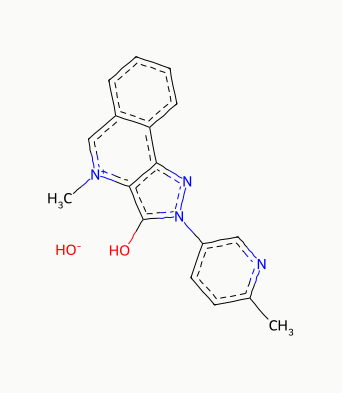 Cc1ccc(-n2nc3c4ccccc4c[n+](C)c3c2O)cn1.[OH-]